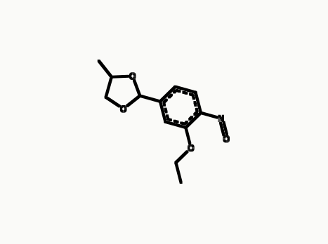 CCOc1cc(C2OCC(C)O2)ccc1N=O